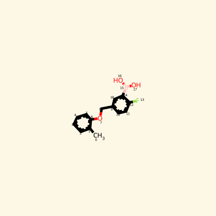 Cc1ccccc1OCc1ccc(F)c(B(O)O)c1